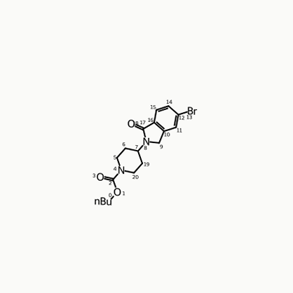 CCCCOC(=O)N1CCC(N2Cc3cc(Br)ccc3C2=O)CC1